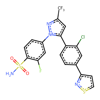 NS(=O)(=O)c1ccc(-n2nc(C(F)(F)F)cc2-c2ccc(-c3ccsn3)cc2Cl)cc1F